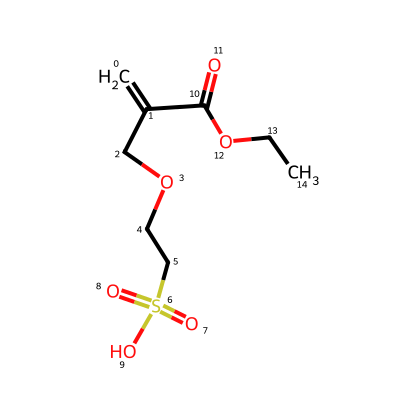 C=C(COCCS(=O)(=O)O)C(=O)OCC